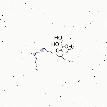 CCCCC/C=C\C/C=C\CCCCCC(CCCC)C(CCCC)C(=O)C(O)C(O)CO